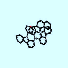 c1ccc(-n2c3ccccc3c3cccc(N(c4cccc5c4sc4ccccc45)c4cccc5c4sc4c6ccccc6ccc54)c32)cc1